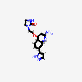 Nc1cc(OCCN2CCNC2=O)c2ccc(-c3ccn[nH]3)cc2n1